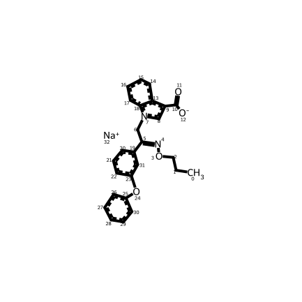 CCCON=C(Cn1cc(C(=O)[O-])c2ccccc21)c1cccc(Oc2ccccc2)c1.[Na+]